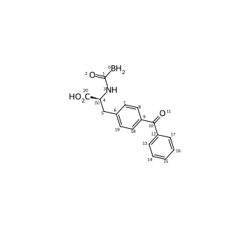 BC(=O)N[C@@H](Cc1ccc(C(=O)c2ccccc2)cc1)C(=O)O